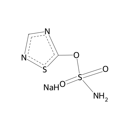 NS(=O)(=O)Oc1ncns1.[NaH]